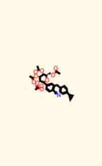 CC(=O)OC[C@H]1OC(O)(c2ccc(C#N)c(Cc3ccc(C4CC4)cc3)c2)[C@H](OC(C)=O)[C@@H](OC(C)=O)[C@@H]1OC(C)=O